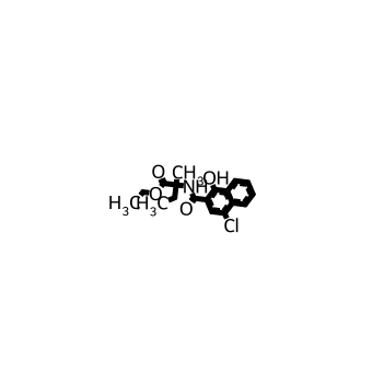 CCOC(=O)C(C)(CC)NC(=O)c1cc(Cl)c2ccccc2c1O